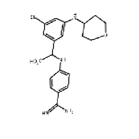 CCc1cc(NC2CCOCC2)cc(C(Nc2ccc(C(=N)N)cc2)C(=O)O)c1